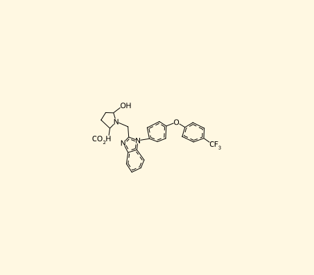 O=C(O)C1CCC(O)N1Cc1nc2ccccc2n1-c1ccc(Oc2ccc(C(F)(F)F)cc2)cc1